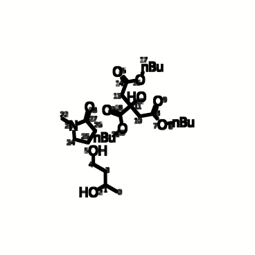 CC(O)CCO.CCCCOC(=O)CC(O)(CC(=O)OCCCC)C(=O)OCCCC.CN1CCCC1=O